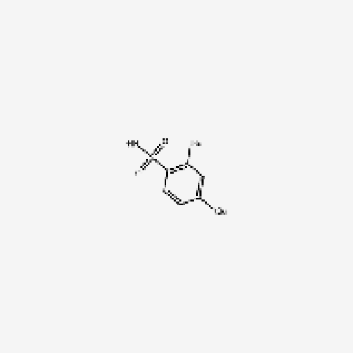 CC(C)(C)c1ccc(S([NH])(=O)=O)c(C(C)(C)C)c1